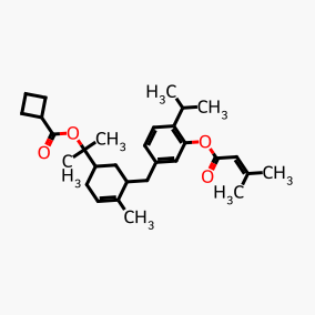 CC(C)=CC(=O)Oc1cc(CC2CC(C(C)(C)OC(=O)C3CCC3)CC=C2C)ccc1C(C)C